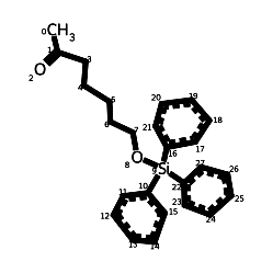 CC(=O)CCCCCO[Si](c1ccccc1)(c1ccccc1)c1ccccc1